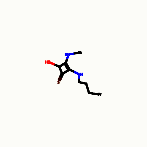 CCNC1=C(NCCCC(C)C)C(=S)C1O